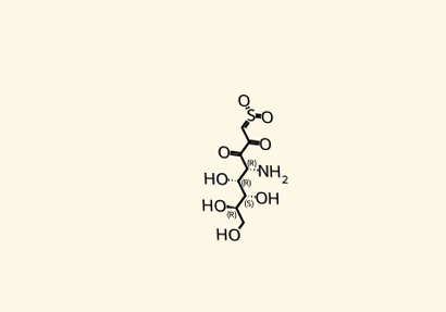 N[C@@H](C(=O)C(=O)C=S(=O)=O)[C@@H](O)[C@H](O)[C@H](O)CO